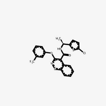 C[C@H](NC(=O)c1c(Oc2cccc(C(F)(F)F)c2)nnc2ccccc12)c1ccc(Cl)s1